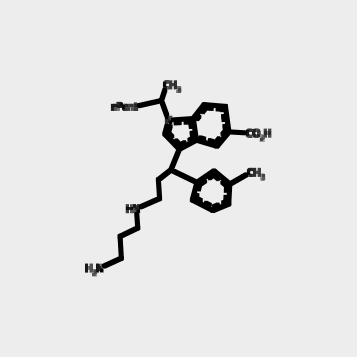 CCCCCC(C)n1cc(C(CCNCCCN)c2cccc(C)c2)c2cc(C(=O)O)ccc21